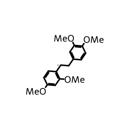 COc1ccc([CH]Cc2ccc(OC)c(OC)c2)c(OC)c1